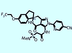 CNS(=O)(=O)CC(=O)Nc1c2c(nn1-c1ccc(C#N)cn1)C[C@@]1(CCc3cc(OCC(F)(F)F)ccc31)NC2=O